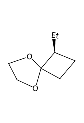 CC[C@H]1CCC12OCCO2